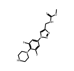 COC(=S)NCc1cn(-c2cc(F)c(N3CCNCC3)c(F)c2)nn1